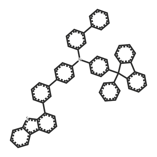 c1ccc(-c2cccc(N(c3ccc(-c4cccc(-c5cccc6c5sc5ccccc56)c4)cc3)c3ccc(C4(c5ccccc5)c5ccccc5-c5ccccc54)cc3)c2)cc1